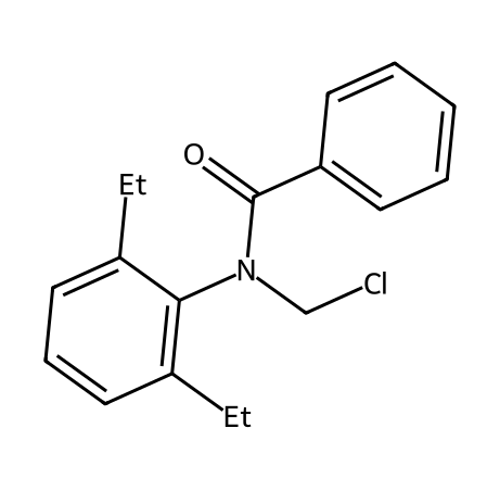 CCc1cccc(CC)c1N(CCl)C(=O)c1ccccc1